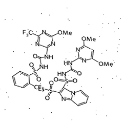 CCS(=O)(=O)c1nc2ccccn2c1S(=O)(=O)NC(=O)Nc1nc(OC)cc(OC)n1.COc1nc(NC(=O)NS(=O)(=O)c2ccccc2C(F)(F)F)nc(C(F)(F)F)n1